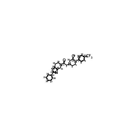 O=C(CN1CCN(c2ccc(C(F)(F)F)cn2)C(=O)C1)N1CCc2sc(-c3ccccc3)nc2C1